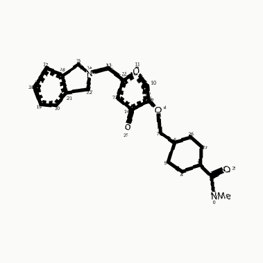 CNC(=O)C1CCC(COc2coc(CN3Cc4ccccc4C3)cc2=O)CC1